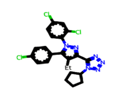 CCc1c(-c2nnnn2C2CCCC2)nn(-c2ccc(Cl)cc2Cl)c1-c1ccc(Cl)cc1